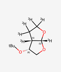 [2H]C1([2H])O[C@]2([2H])OC[C@H](OC(C)(C)C)[C@]2([2H])C1([2H])[2H]